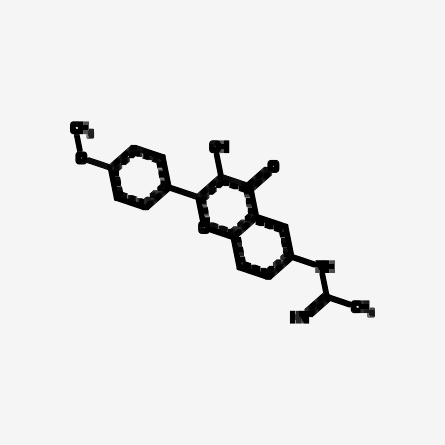 COc1ccc(-c2oc3ccc(NC(C)=N)cc3c(=O)c2O)cc1